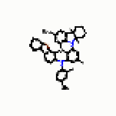 Cc1cc2c3c(c1)N1c4c(cc(C(C)(C)C)cc4C4(C)CCCCC14C)B3c1c(ccc3c1sc1ccccc13)N2c1ccc(C(C)(C)C)cc1C